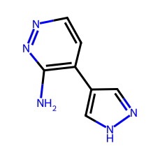 Nc1nnccc1-c1cn[nH]c1